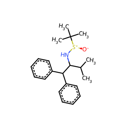 CC(C)C(N[S@+]([O-])C(C)(C)C)C(c1ccccc1)c1ccccc1